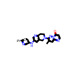 Cc1cc2nccc(=O)n2nc1N1CCc2ncc(Nc3ccc(C(C)C)nc3)cc2C1